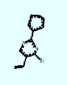 C=Cc1cnc(-c2ccccc2)nc1CC